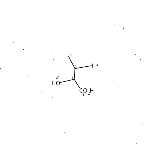 CC(I)C(O)C(=O)O